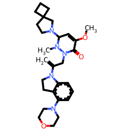 C=C(CN1C(=O)C(OC)=CC(N2CCC3(CCC3)C2)N1C)N1CCc2c(N3CCOCC3)cccc21